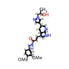 COc1ccc(CNC(=O)/C=C/c2c[nH]c3ncc(-c4cnn(CC(C)O)c4)cc23)cc1OC